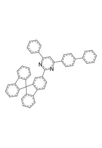 c1ccc(-c2ccc(-c3cc(-c4ccccc4)nc(-c4ccc5c(c4)C4(c6ccccc6-c6ccccc64)c4ccccc4-5)n3)cc2)cc1